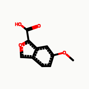 COc1ccc2coc(C(=O)O)c2c1